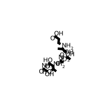 CC(=O)O.CC(N)=O.CC(N)C(=O)O.CC(O)C(N)C(=O)O.CCCC(=O)O.NC(=O)CO